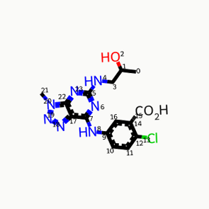 CC(O)CNc1nc(Nc2ccc(Cl)c(C(=O)O)c2)c2nnn(C)c2n1